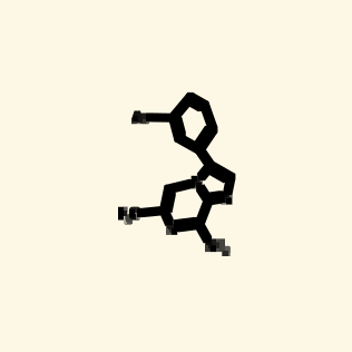 CC(=O)c1cccc(-c2cnc3c(N)nc(C(F)(F)F)cn23)c1